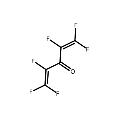 O=C(C(F)=C(F)F)C(F)=C(F)F